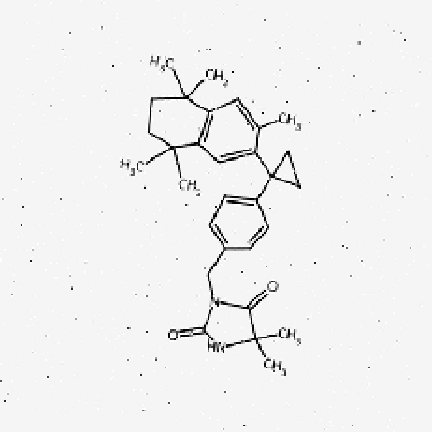 Cc1cc2c(cc1C1(c3ccc(CN4C(=O)NC(C)(C)C4=O)cc3)CC1)C(C)(C)CCC2(C)C